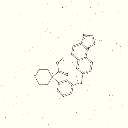 COC(=O)C1(c2cccc(Sc3ccc4c(ccc5nccn54)c3)c2)CCOCC1